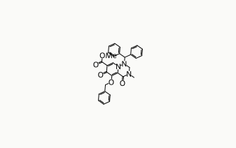 COC(=O)c1cn2c(c(OCc3ccccc3)c1=O)C(=O)N(C)CN2C(c1ccccc1)c1ccccc1